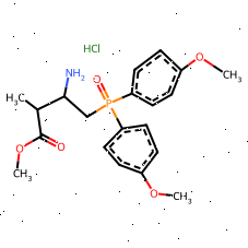 COC(=O)C(C)C(N)CP(=O)(c1ccc(OC)cc1)c1ccc(OC)cc1.Cl